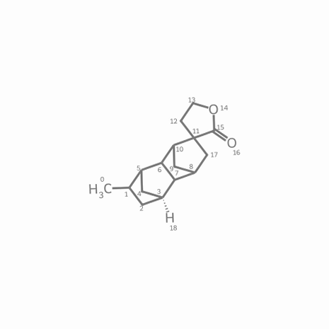 CC1C[C@H]2CC1C1C2C2CC1C1(CCOC1=O)C2